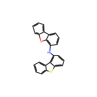 c1ccc2c(c1)oc1c(Nc3cccc4sc5ccccc5c34)cccc12